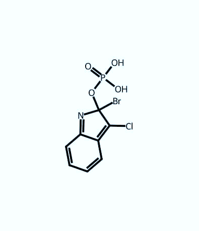 O=P(O)(O)OC1(Br)N=c2ccccc2=C1Cl